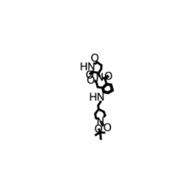 CC(C)(C)OC(=O)N1CCC(CCNc2cccc3c2CC(=O)N(C2CCC(=O)NC2=O)C3=O)CC1